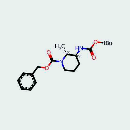 C[C@@H]1[C@@H](NC(=O)OC(C)(C)C)CCCN1C(=O)OCc1ccccc1